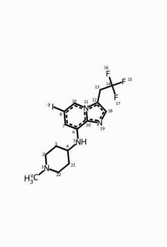 CN1CCC(Nc2cc(I)cn3c(CC(F)(F)F)cnc23)CC1